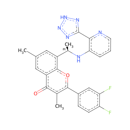 Cc1cc([C@@H](C)Nc2cccnc2-c2nn[nH]n2)c2oc(-c3ccc(F)c(F)c3)c(C)c(=O)c2c1